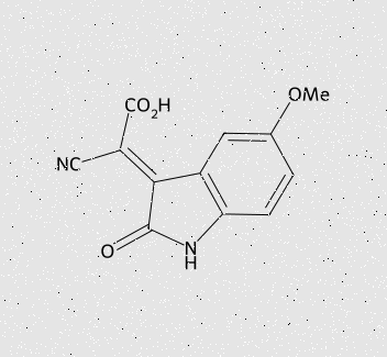 COc1ccc2c(c1)C(=C(C#N)C(=O)O)C(=O)N2